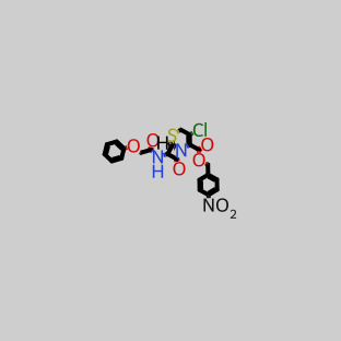 O=C(COc1ccccc1)NC1C(=O)N2C(C(=O)OCc3ccc([N+](=O)[O-])cc3)=C(Cl)CS[C@H]12